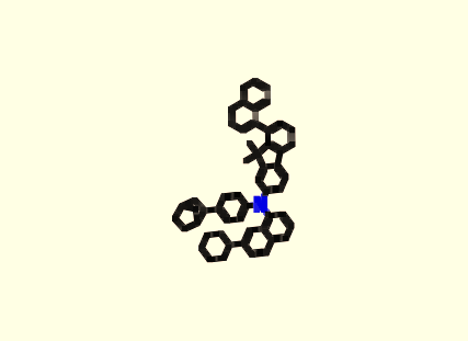 CC1(C)c2cc(N(c3ccc(C4CC5CCC4C5)cc3)c3cccc4ccc(C5CCCCC5)cc34)ccc2-c2cccc(-c3cccc4ccccc34)c21